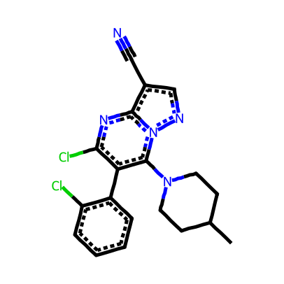 CC1CCN(c2c(-c3ccccc3Cl)c(Cl)nc3c(C#N)cnn23)CC1